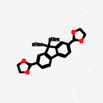 CCCCCCC1(CCCCCC)c2cc(B3OCCO3)ccc2-c2ccc(B3OCCO3)cc21